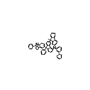 CC1(C)c2ccccc2-c2ccc(N(c3cccc(C4C=CC=CC4)c3)c3cccc4c3-c3ccccc3C4(C3=CCC4N=C(c5ccccc5)OC4=C3)c3ccccc3)cc21